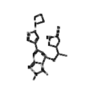 Cc1c2c(OC(C)C3CNC(=O)C3)cc(-c3cnn(C4CCC4)c3)cc2nn1C